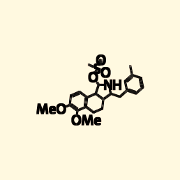 COc1ccc2c(c1OC)CCC1C(Cc3cccc(C)c3)NC(OS(C)(=O)=O)C21